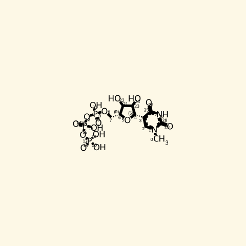 Cn1cc([C@@H]2O[C@H](COP(=O)(O)OP(=O)(O)OP(=O)(O)O)C(O)C2O)c(=O)[nH]c1=O